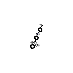 CN(C)c1ccc(/N=N/c2ccc(C(=O)Nc3ccccc3O)cc2)cc1